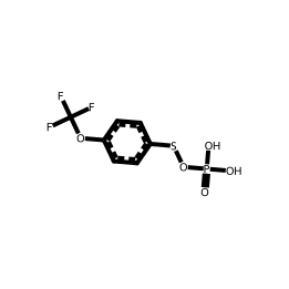 O=P(O)(O)OSc1ccc(OC(F)(F)F)cc1